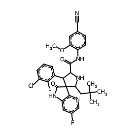 COc1cc(C#N)ccc1NC(=O)C1NC(CC(C)(C)C)C2(C(=O)Nc3cc(F)cnc32)C1c1cccc(Cl)c1F